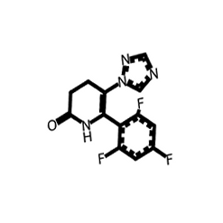 O=C1CCC(n2cncn2)=C(c2c(F)cc(F)cc2F)N1